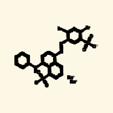 O=S(=O)([O-])c1cc(N=Nc2ccc(Nc3ccccc3)c3c(S(=O)(=O)[O-])cccc23)c(Br)cc1Br.[Na+].[Na+]